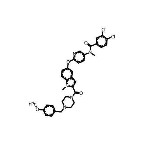 CCCOc1ccc(CN2CCN(C(=O)c3cc4cc(Oc5ccc(N(C)C(=O)c6ccc(Cl)c(Cl)c6)cn5)ccc4n3C)CC2)cc1